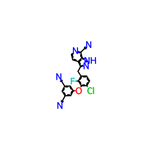 N#Cc1cc(C#N)cc(Oc2c(Cl)ccc(Cc3n[nH]c4c(C#N)nccc34)c2F)c1